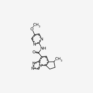 COc1cnc(NC(=O)c2cc3c(n4cnnc24)CCC3C)nc1